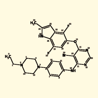 CCN1CCN(c2ccc(Nc3ncnc(Oc4cc(F)c5[nH]c(C)cc5c4F)c3Br)cc2)CC1